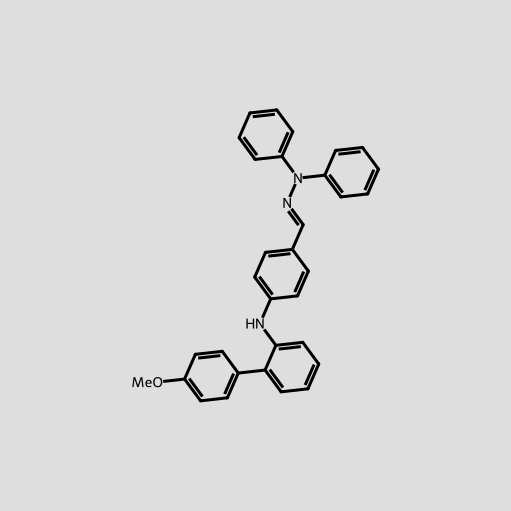 COc1ccc(-c2ccccc2Nc2ccc(/C=N/N(c3ccccc3)c3ccccc3)cc2)cc1